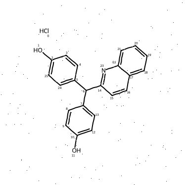 Cl.Oc1ccc(C(c2ccc(O)cc2)c2ccc3ccccc3n2)cc1